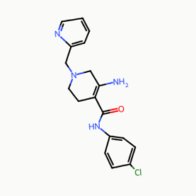 NC1=C(C(=O)Nc2ccc(Cl)cc2)CCN(Cc2ccccn2)C1